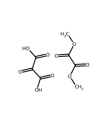 COC(=O)C(=O)OC.O=C(O)C(=O)C(=O)O